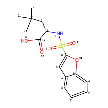 CC(C)(C)C[C@H](NS(=O)(=O)c1cc2ccccc2o1)C(=O)O